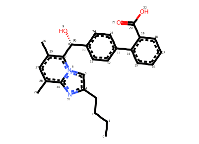 CCCCc1cn2c([C@H](O)c3ccc(-c4ccccc4C(=O)O)cc3)c(C)cc(C)c2n1